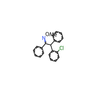 CON=C(c1ccccc1)C(c1ccccc1)c1ccccc1Cl